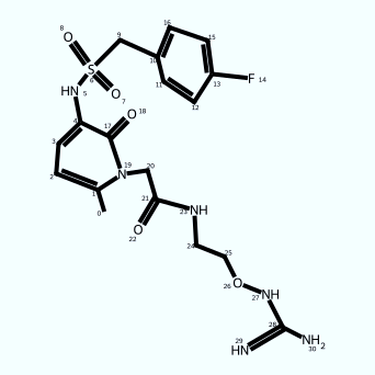 Cc1ccc(NS(=O)(=O)Cc2ccc(F)cc2)c(=O)n1CC(=O)NCCONC(=N)N